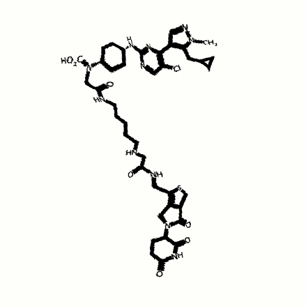 Cn1ncc(-c2nc(N[C@H]3CC[C@H](N(CC(=O)NCCCCCNCC(=O)NCc4scc5c4CN(C4CCC(=O)NC4=O)C5=O)C(=O)O)CC3)ncc2Cl)c1CC1CC1